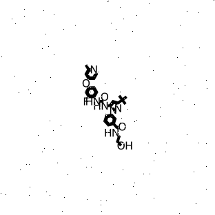 Cc1cc(Oc2ccc(NC(=O)Nc3cc(C(C)(C)C)nn3-c3cccc(C(=O)NCCO)c3)c(F)c2)ccn1